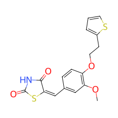 COc1cc(C=C2SC(=O)NC2=O)ccc1OCCc1cccs1